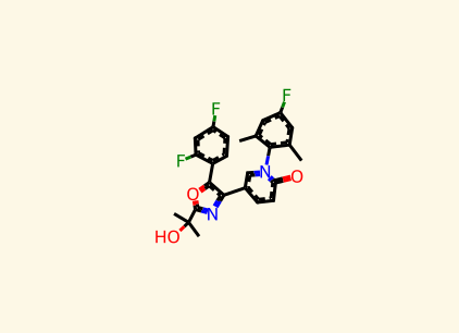 Cc1cc(F)cc(C)c1-n1cc(-c2nc(C(C)(C)O)oc2-c2ccc(F)cc2F)ccc1=O